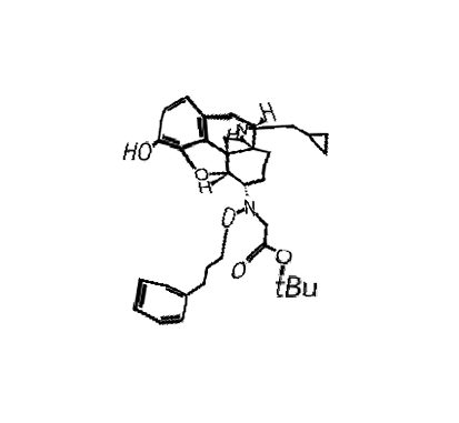 CC(C)(C)OC(=O)CN(OCCCc1ccccc1)[C@H]1CC[C@H]2[C@H]3Cc4ccc(O)c5c4[C@@]2(CCN3CC2CC2)[C@H]1O5